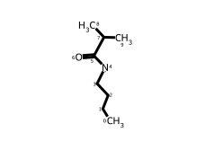 CCCC[N]C(=O)C(C)C